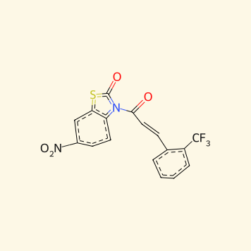 O=C(C=Cc1ccccc1C(F)(F)F)n1c(=O)sc2cc([N+](=O)[O-])ccc21